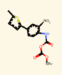 CCCCOC(=O)OC(=O)Nc1ccc(-c2ccc(C)s2)cc1[N+](=O)[O-]